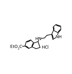 CCOC(=O)c1ccc2c(c1)CCC2NCCc1c[nH]c2ccccc12.Cl